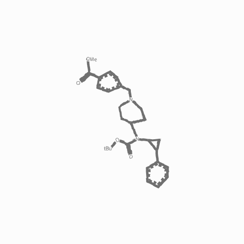 COC(=O)c1ccc(CN2CCC(N(C(=O)OC(C)(C)C)C3CC3c3ccccc3)CC2)cc1